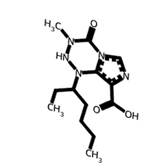 CCCCC(CC)N1NN(C)C(=O)n2cnc(C(=O)O)c21